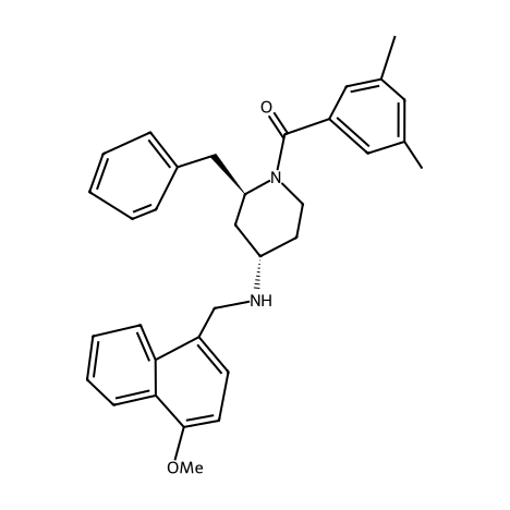 COc1ccc(CN[C@H]2CCN(C(=O)c3cc(C)cc(C)c3)[C@H](Cc3ccccc3)C2)c2ccccc12